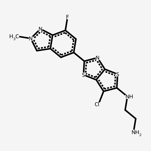 Cn1cc2cc(-c3nc4sc(NCCN)c(Cl)c4s3)cc(F)c2n1